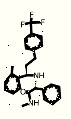 CNC(=O)[C@H](N[C@H](CCc1ccc(C(F)(F)F)cc1)c1ccccc1C)c1ccccc1